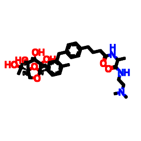 Cc1ccc([C@]23OC[C@](C(C)(C)O)(O2)[C@@H](O)[C@H](O)[C@H]3O)cc1Cc1ccc(CCCC(=O)NC(C)C(=O)NCCN(C)C)cc1